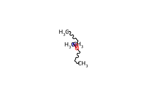 CC/C=C\C/C=C\C/C=C\C/C=C\C/C=C\C/C=C\CCCOCC(CN(C)C)OCCC/C=C\C/C=C\C/C=C\C/C=C\C/C=C\C/C=C\CC